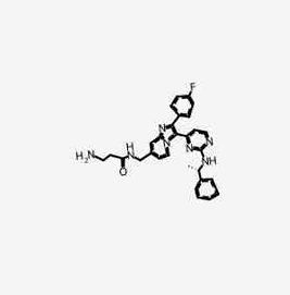 C[C@H](Nc1nccc(-c2c(-c3ccc(F)cc3)nc3cc(CNC(=O)CCN)ccn23)n1)c1ccccc1